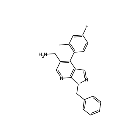 Cc1cc(F)ccc1-c1c(CN)cnc2c1cnn2Cc1ccccc1